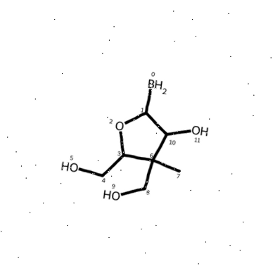 BC1OC(CO)C(C)(CO)C1O